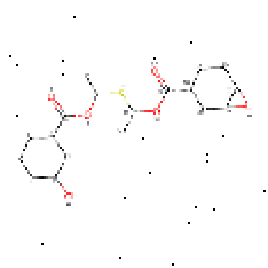 CC(OC(=O)C1CCCC(O)C1)SC(C)OC(=O)C1CCC2OC2C1